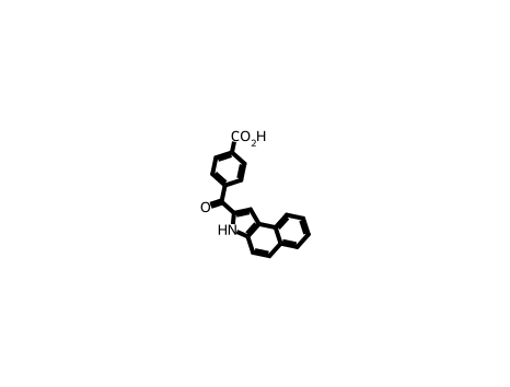 O=C(O)c1ccc(C(=O)c2cc3c(ccc4ccccc43)[nH]2)cc1